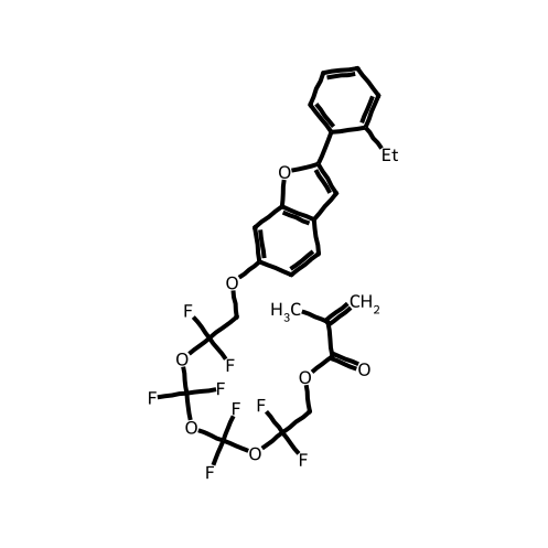 C=C(C)C(=O)OCC(F)(F)OC(F)(F)OC(F)(F)OC(F)(F)COc1ccc2cc(-c3ccccc3CC)oc2c1